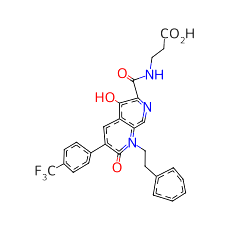 O=C(O)CCNC(=O)c1ncc2c(cc(-c3ccc(C(F)(F)F)cc3)c(=O)n2CCc2ccccc2)c1O